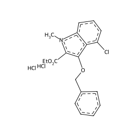 CCOC(=O)c1c(OCc2ccccc2)c2c(Cl)cccc2n1C.Cl.Cl